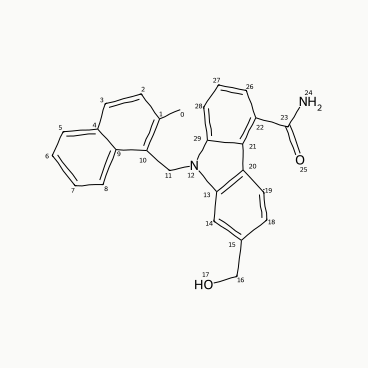 Cc1ccc2ccccc2c1Cn1c2cc(CO)c[c]c2c2c(C(N)=O)cccc21